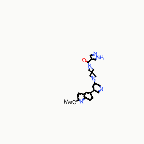 COc1ccc2cc(-c3cncc(N4CC5(CN(C(=O)c6cn[nH]c6)C5)C4)c3)ccc2n1